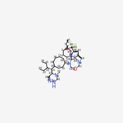 C=C=C1CCCN(CC2=C\N3COCN(C4CCCCC([C@H](C(CC)CC)C5C#[N+]NCN5C)CC4)C(C/C(C(F)(F)I)=C\2)C3)C1